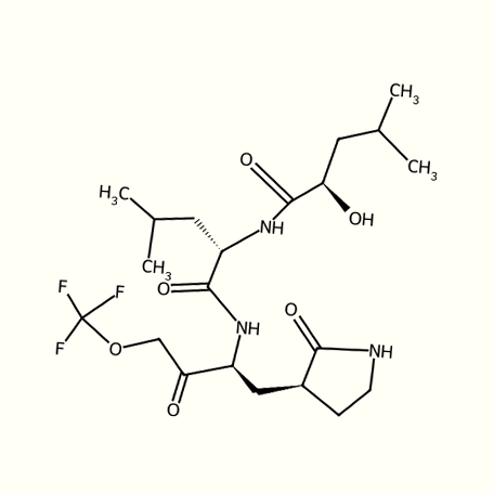 CC(C)C[C@@H](O)C(=O)N[C@@H](CC(C)C)C(=O)N[C@@H](C[C@@H]1CCNC1=O)C(=O)COC(F)(F)F